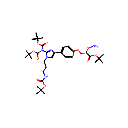 CC(C)(C)OC(=O)NCCCn1cc(-c2ccc(OC[C@H](ON)C(=O)OC(C)(C)C)cc2)nc1N(C(=O)OC(C)(C)C)C(=O)OC(C)(C)C